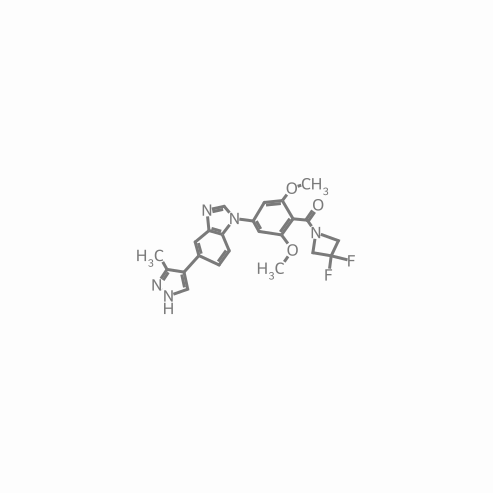 COc1cc(-n2cnc3cc(-c4c[nH]nc4C)ccc32)cc(OC)c1C(=O)N1CC(F)(F)C1